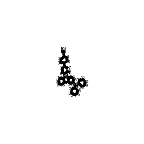 N#Cc1ccc(-c2ccc(-n3c4ccccc4c4cc(N(c5ccccc5)c5ccccc5)ccc43)nc2)cc1